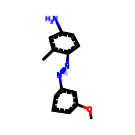 COc1cccc(/N=N/c2ccc(N)cc2C)c1